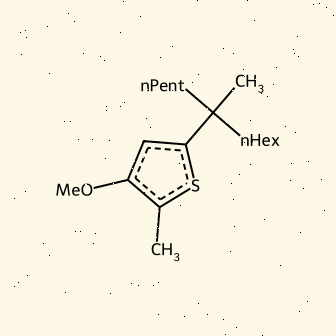 CCCCCCC(C)(CCCCC)c1cc(OC)c(C)s1